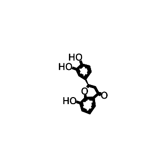 O=C1C[C@H](c2ccc(O)c(O)c2)Oc2c(O)cccc21